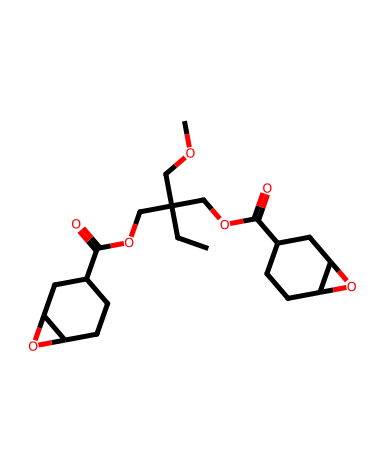 CCC(COC)(COC(=O)C1CCC2OC2C1)COC(=O)C1CCC2OC2C1